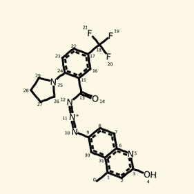 Cc1cc(O)nc2ccc(N=[N+]=NC(=O)c3cc(C(F)(F)F)ccc3N3CCCC3)cc12